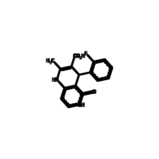 CC1=C(C(=O)O)C(c2ccccc2F)c2c(cc[nH]c2=O)N1